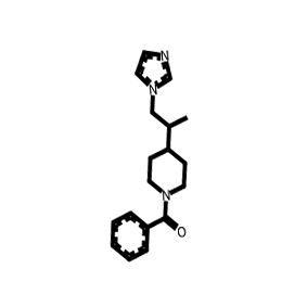 CC(Cn1ccnc1)C1CCN(C(=O)c2ccccc2)CC1